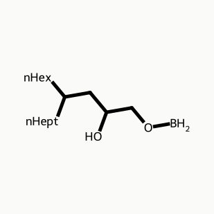 BOCC(O)CC(CCCCCC)CCCCCCC